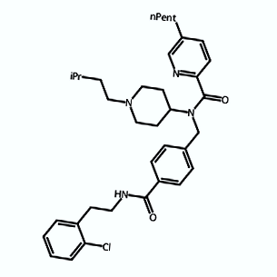 CCCCCc1ccc(C(=O)N(Cc2ccc(C(=O)NCCc3ccccc3Cl)cc2)C2CCN(CCC(C)C)CC2)nc1